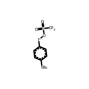 CC(C)(C)c1ccc([I+]OS(=O)(=O)C(F)(F)F)cc1